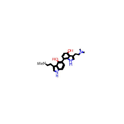 CNCCc1c[nH]c2ccc(-c3ccc(O)c4c(CCN(C)C)c[nH]c34)c(O)c12